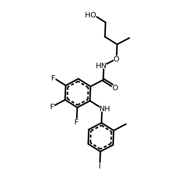 Cc1cc(I)ccc1Nc1c(C(=O)NOC(C)CCO)cc(F)c(F)c1F